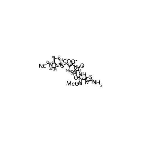 CO/N=C(\C(=O)N[C@@H]1C(=O)N2C(C(=O)[O-])=C(CSc3cccc4n(CC#N)cc[n+]34)CS[C@H]12)c1csc(N)n1